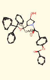 COC(OC)(OC(c1ccccc1)(c1ccccc1)c1ccccc1)C1CC(O)CN1C(=O)Cc1ccc(OC(=O)c2ccccc2)cc1